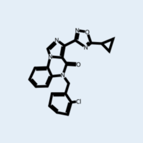 O=c1c2c(-c3noc(C4CC4)n3)ncn2c2ccccc2n1Cc1ccccc1Cl